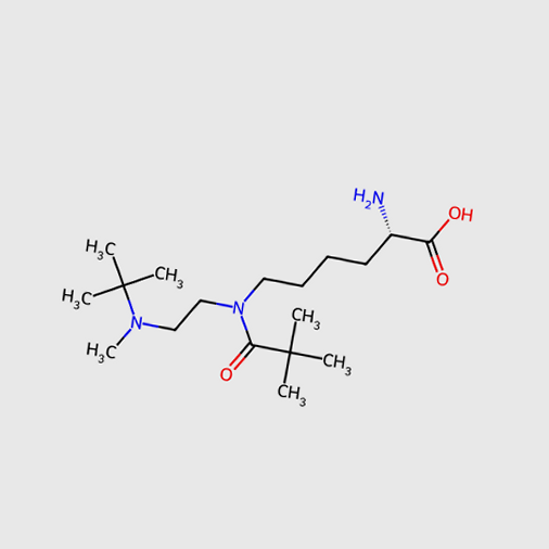 CN(CCN(CCCC[C@H](N)C(=O)O)C(=O)C(C)(C)C)C(C)(C)C